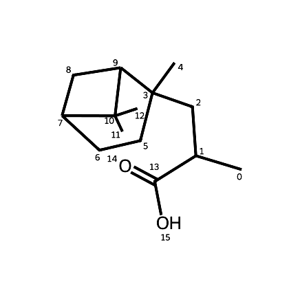 CC(CC1(C)CCC2CC1C2(C)C)C(=O)O